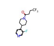 O=C(CCC(F)(F)F)N1CCC(c2ccncc2F)CC1